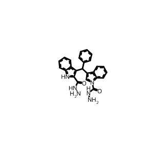 NNC(=O)c1[nH]c2ccccc2c1C(c1ccccc1)c1cn(C(=O)NN)c2ccccc12